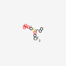 Cc1cc(SCC(=Cc2cccc3ccccc23)COc2ccc(C(F)(F)F)cc2)ccc1OCC1OC(C)O1